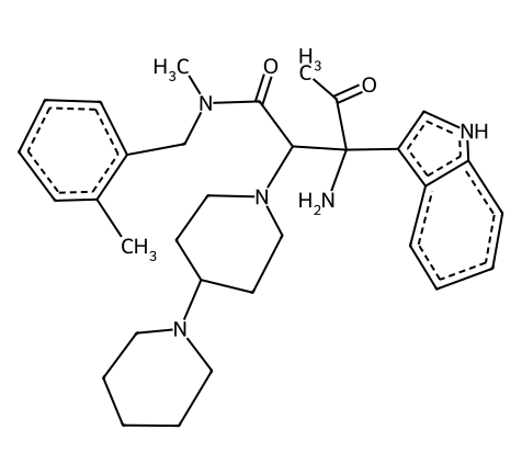 CC(=O)C(N)(c1c[nH]c2ccccc12)C(C(=O)N(C)Cc1ccccc1C)N1CCC(N2CCCCC2)CC1